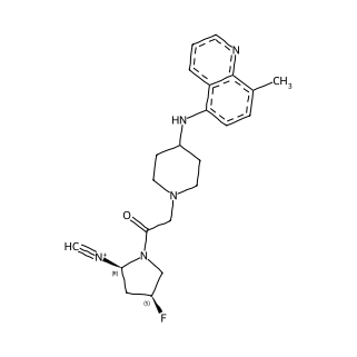 C#[N+][C@@H]1C[C@H](F)CN1C(=O)CN1CCC(Nc2ccc(C)c3ncccc23)CC1